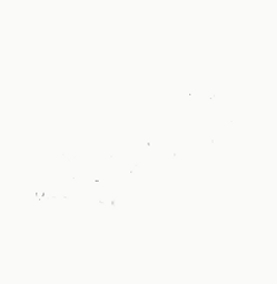 COC(=O)C(O)=CC(=O)CCc1ccccc1